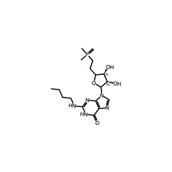 C=P(C)(C)CCC1OC(n2cnc3c(=O)[nH]c(NCCCC)nc32)[C@H](O)[C@@H]1O